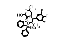 CC1CN([C@H](c2cc(F)c(F)c(F)c2)[C@@H](C)O[Si](c2ccccc2)(c2ccccc2)C(C)(C)C)C(=O)C(O)O1